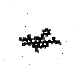 CC(Cc1ccc(OCC(N)=O)cc1)N(CC(O)COc1ccccc1)CC(O)c1cc(Cl)c(N)c(Cl)c1